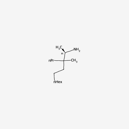 CCCCCCCCC(C)(CCC)[C@@H](C)N